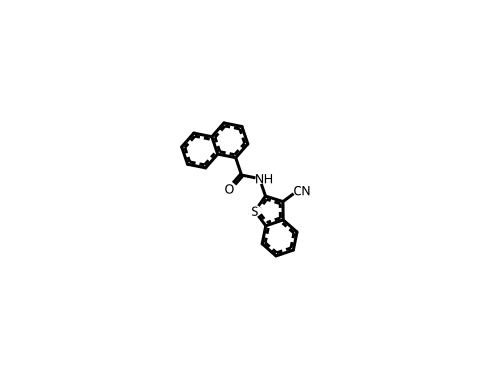 N#Cc1c(NC(=O)c2cccc3ccccc23)sc2ccccc12